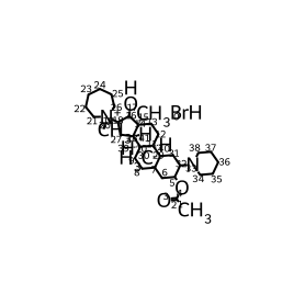 Br.CC(=O)OC1CC2CC[C@@H]3[C@@H](CC[C@]4(C)C(O)C([N+]5(C)CCCCCC5)C[C@@H]34)[C@@]2(C)CC1N1CCCCC1